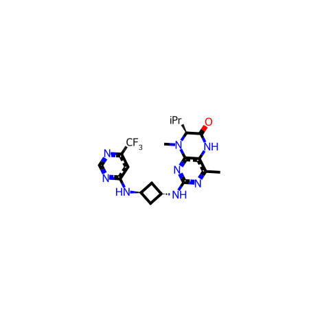 Cc1nc(N[C@H]2C[C@H](Nc3cc(C(F)(F)F)ncn3)C2)nc2c1NC(=O)[C@H](C(C)C)N2C